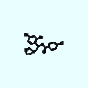 O=C(SC(Cn1ccnc1)c1ccc(Br)cc1Br)c1ccc(Cl)cc1